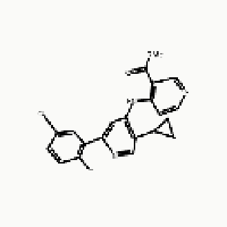 COC(=O)c1cnccc1Nc1cc(-c2cc(Cl)ccc2F)ncc1C1CC1